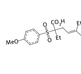 CC/C(C)=C\CC(CC)(C(=O)O)S(=O)(=O)c1ccc(OC)cc1